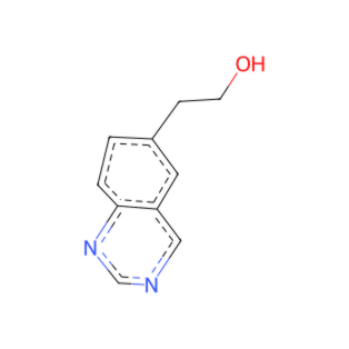 OCCc1ccc2ncncc2c1